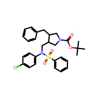 CC(C)(C)OC(=O)N1CC(Cc2ccccc2)C(CN(c2ccc(Cl)cc2)S(=O)(=O)c2ccccc2)C1